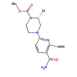 CC[C@@H]1CN(c2ccc(C(N)=O)c(OC)n2)CCN1C(=O)OC(C)(C)C